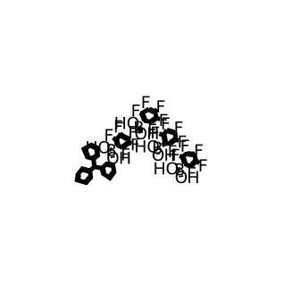 OB(O)c1c(F)c(F)c(F)c(F)c1F.OB(O)c1c(F)c(F)c(F)c(F)c1F.OB(O)c1c(F)c(F)c(F)c(F)c1F.OB(O)c1c(F)c(F)c(F)c(F)c1F.c1ccc(C(c2ccccc2)c2ccccc2)cc1